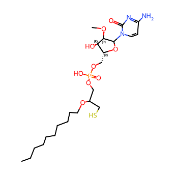 CCCCCCCCCCOC(CS)COP(=O)(O)OC[C@H]1OC(n2ccc(N)nc2=O)[C@H](OC)[C@@H]1O